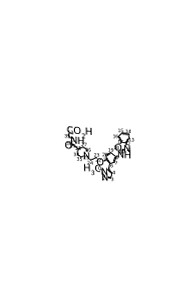 Cn1nccc1-c1cc(Nc2nc3ccccc3o2)ccc1OCCN1CCC(C(=O)NCC(=O)O)CC1